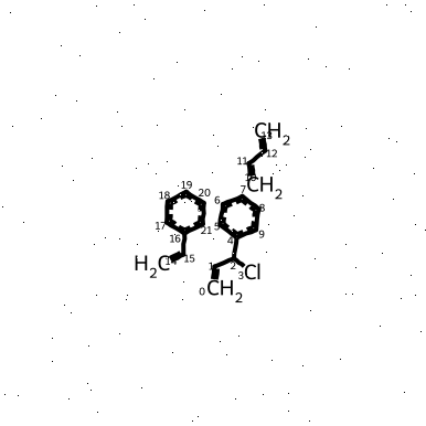 C=CC(Cl)c1ccccc1.C=CC=C.C=Cc1ccccc1